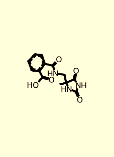 CC1(CNC(=O)c2ccccc2C(=O)O)NC(=O)NC1=O